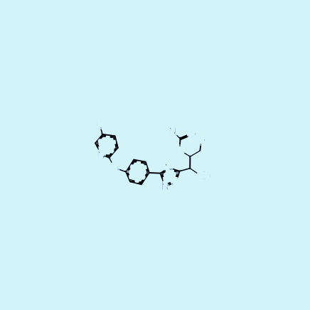 CC(C)(C)C(c1nc(-c2ccc(Oc3ccc(Cl)cn3)cc2)no1)C(CO)OC(N)=O